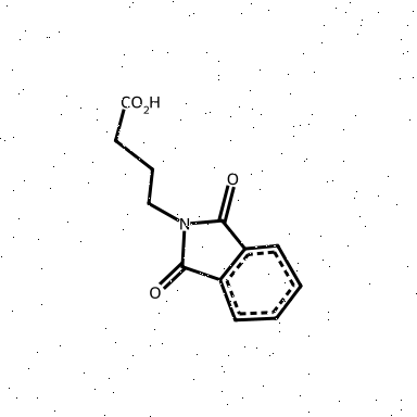 O=C(O)CCCN1C(=O)c2ccccc2C1=O